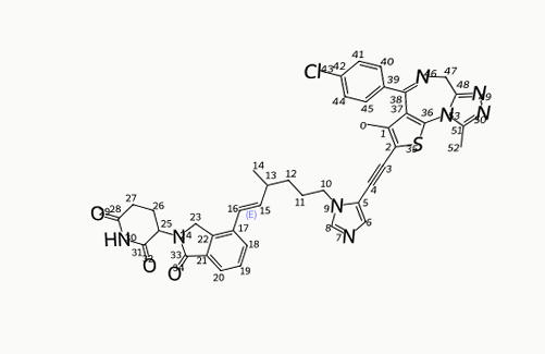 Cc1c(C#Cc2cncn2CCCC(C)/C=C/c2cccc3c2CN(C2CCC(=O)NC2=O)C3=O)sc2c1C(c1ccc(Cl)cc1)=NCc1nnc(C)n1-2